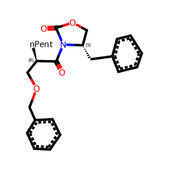 CCCCC[C@H](COCc1ccccc1)C(=O)N1C(=O)OC[C@@H]1Cc1ccccc1